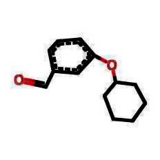 O=Cc1cccc(OC2CCCCC2)c1